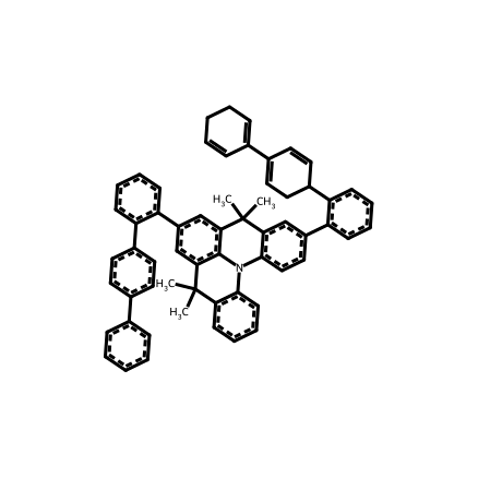 CC1(C)c2ccccc2N2c3ccc(-c4ccccc4C4C=CC(C5=CCCC=C5)=CC4)cc3C(C)(C)c3cc(-c4ccccc4-c4ccc(-c5ccccc5)cc4)cc1c32